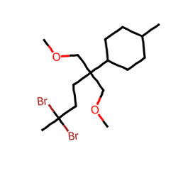 COCC(CCC(C)(Br)Br)(COC)C1CCC(C)CC1